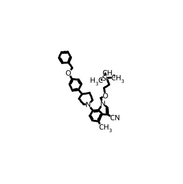 Cc1ccc(N2CCC(c3ccc(OCc4ccccc4)cc3)CC2)c2c1c(C#N)cn2COCC[Si](C)(C)C